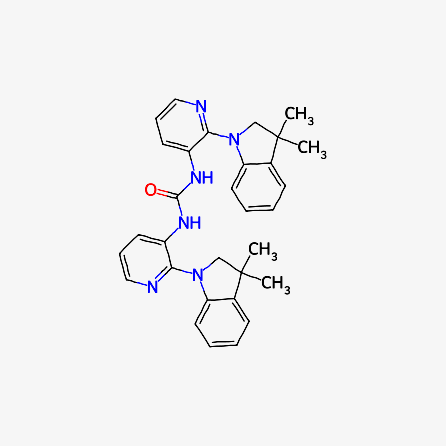 CC1(C)CN(c2ncccc2NC(=O)Nc2cccnc2N2CC(C)(C)c3ccccc32)c2ccccc21